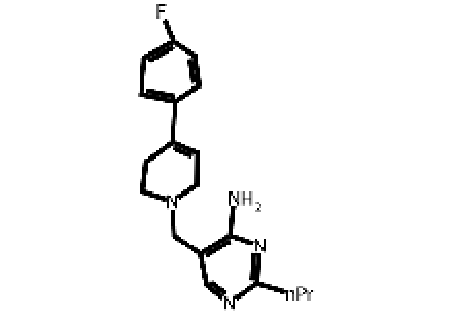 CCCc1ncc(CN2CC=C(c3ccc(F)cc3)CC2)c(N)n1